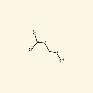 SCCCC(Cl)Cl